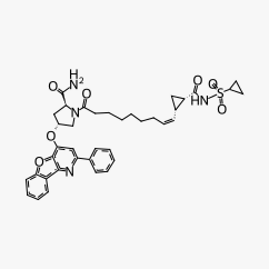 NC(=O)[C@@H]1C[C@@H](Oc2cc(-c3ccccc3)nc3c2oc2ccccc23)CN1C(=O)CCCCCC/C=C\[C@@H]1C[C@@H]1C(=O)NS(=O)(=O)C1CC1